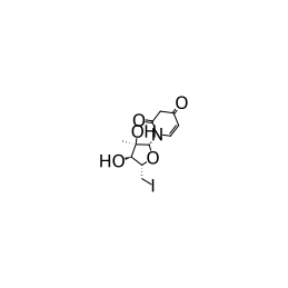 C[C@@]1(O)[C@H](O)[C@@H](CI)O[C@H]1N1C=CC(=O)CC1=O